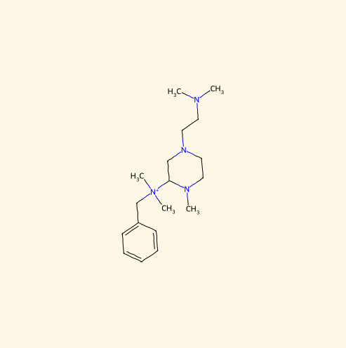 CN(C)CCN1CCN(C)C([N+](C)(C)Cc2ccccc2)C1